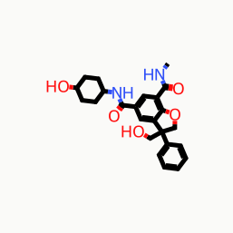 CNC(=O)c1cc(C(=O)NC2CCC(O)CC2)cc2c1OCC2(CO)c1ccccc1